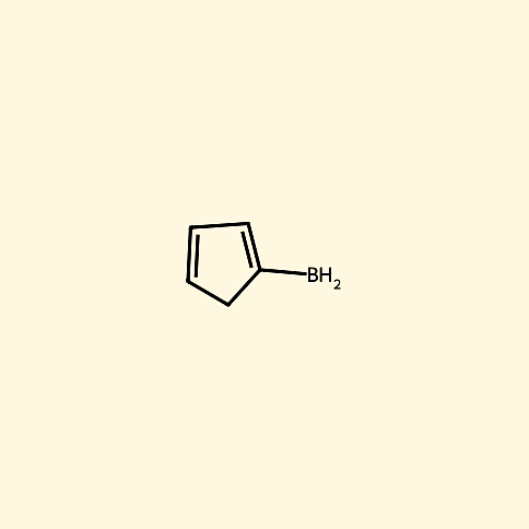 BC1=CC=CC1